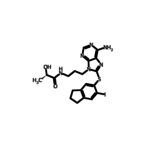 C[C@H](O)C(=O)NCCCn1c(Sc2cc3c(cc2I)CCC3)nc2c(N)ncnc21